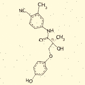 Cc1cc(NC(=O)[C@@](C)(O)COc2ccc(O)cc2)ccc1C#N